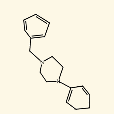 [CH]1C=C(N2CCN(Cc3ccccc3)CC2)C=CC1